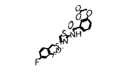 O=C1COc2cccc(C(=O)Nc3nc([S+]([O-])Cc4ccc(F)cc4F)cs3)c2O1